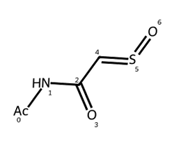 CC(=O)NC(=O)C=S=O